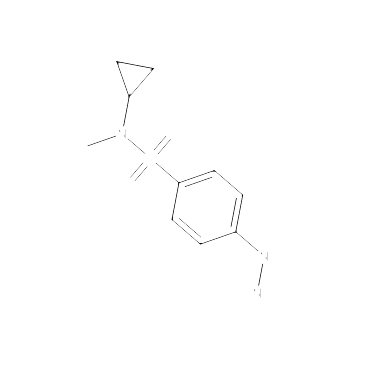 CN(C1CC1)S(=O)(=O)c1ccc(NN)cc1